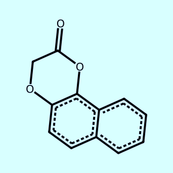 O=C1COc2ccc3ccccc3c2O1